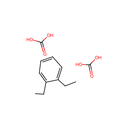 CCc1ccccc1CC.O=C(O)O.O=C(O)O